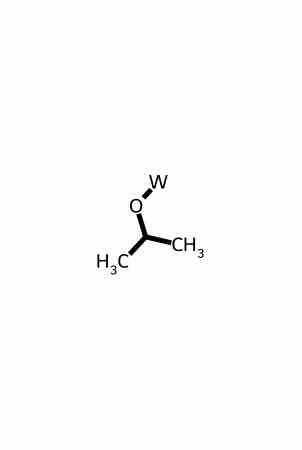 CC(C)[O][W]